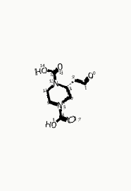 O=CC[C@@H]1CN(C(=O)O)CCN1C(=O)O